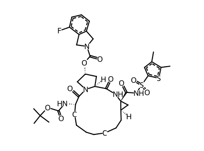 Cc1cc(S(=O)(=O)NC(=O)[C@@]23C[C@H]2CCCCCCC[C@H](NC(=O)OC(C)(C)C)C(=O)N2C[C@H](OC(=O)N4Cc5cccc(F)c5C4)C[C@H]2C(=O)N3)sc1C